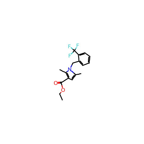 CCOC(=O)c1cc(C)n(Cc2ccccc2C(F)(F)F)c1C